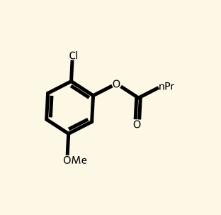 [CH2]CCC(=O)Oc1cc(OC)ccc1Cl